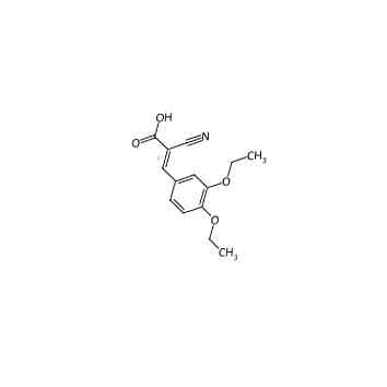 CCOc1ccc(/C=C(\C#N)C(=O)O)cc1OCC